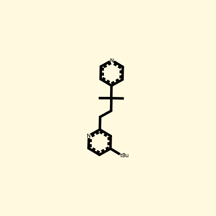 CC(C)(C)c1ccnc(CCC(C)(C)c2ccncc2)c1